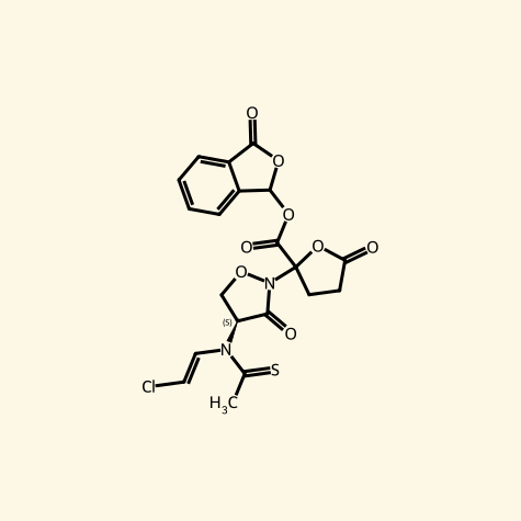 CC(=S)N(C=CCl)[C@H]1CON(C2(C(=O)OC3OC(=O)c4ccccc43)CCC(=O)O2)C1=O